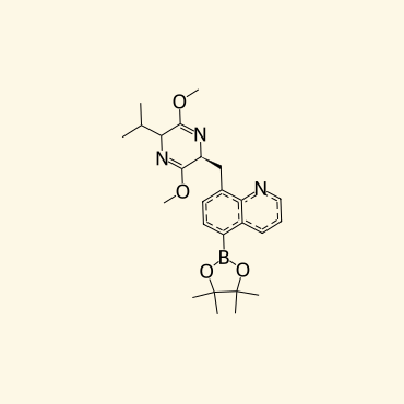 COC1=N[C@@H](Cc2ccc(B3OC(C)(C)C(C)(C)O3)c3cccnc23)C(OC)=NC1C(C)C